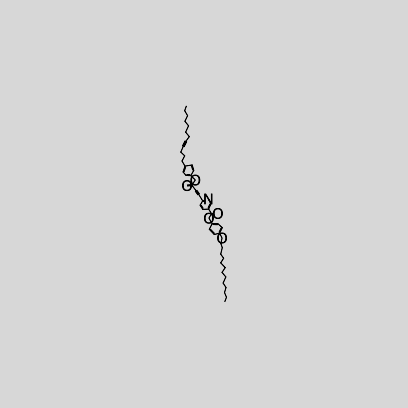 CCCCCCCC#CCCCc1ccc(OC(=O)C#Cc2ccc(C(=O)Oc3ccc(OCCCCCCCCCCCCC)cc3)cn2)cc1